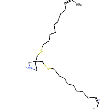 CCCC/C=C\CCCCCCCCSCC1(CSCCCCCCCC/C=C\CCCC)CNC1